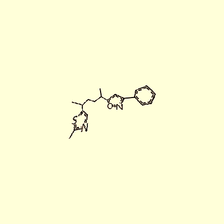 Cc1ncc(C(C)CCC(C)c2cc(-c3ccccc3)no2)s1